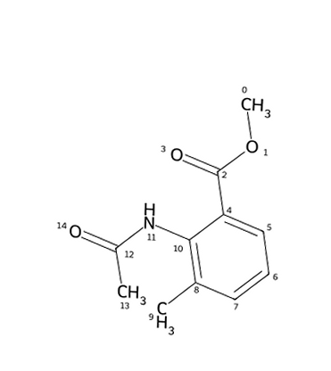 COC(=O)c1cccc(C)c1NC(C)=O